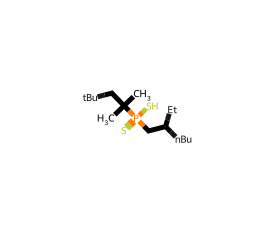 CCCCC(CC)CP(=S)(S)C(C)(C)CC(C)(C)C